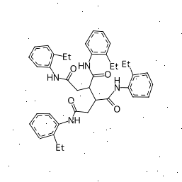 CCc1ccccc1NC(=O)CC(C(=O)Nc1ccccc1CC)C(CC(=O)Nc1ccccc1CC)C(=O)Nc1ccccc1CC